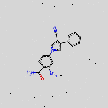 N#Cc1cn(-c2ccc(C(N)=O)c(N)c2)cc1-c1ccccc1